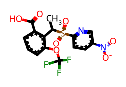 CC(c1c(OC(F)(F)F)cccc1C(=O)O)S(=O)(=O)c1ccc([N+](=O)[O-])cn1